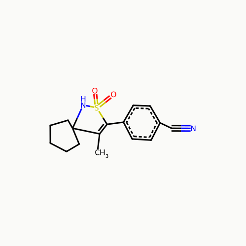 CC1=C(c2ccc(C#N)cc2)S(=O)(=O)NC12CCCCC2